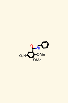 COc1cc([N+](=O)[O-])cc(C(=O)NCc2ccccc2)c1OC